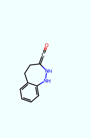 O=C=C1CCc2ccccc2NN1